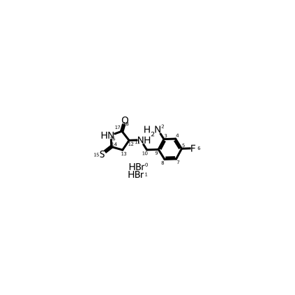 Br.Br.Nc1cc(F)ccc1CNC1CC(=S)NC1=O